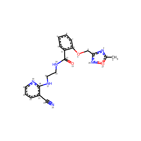 Cc1nc(COc2ccccc2C(=O)NCCNc2ncccc2C#N)no1